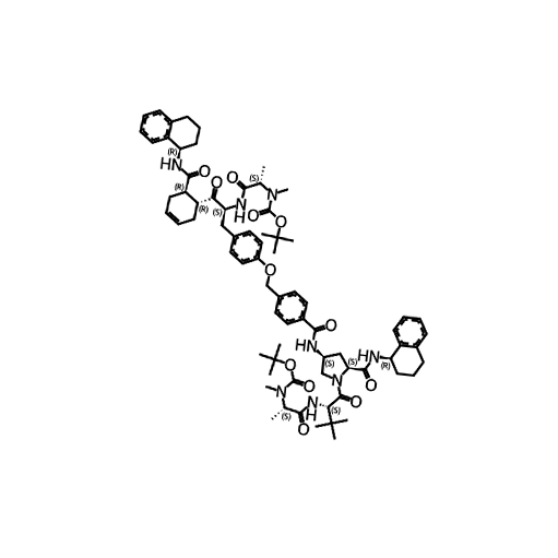 C[C@@H](C(=O)N[C@@H](Cc1ccc(OCc2ccc(C(=O)N[C@H]3C[C@@H](C(=O)N[C@@H]4CCCc5ccccc54)N(C(=O)[C@@H](NC(=O)[C@H](C)N(C)C(=O)OC(C)(C)C)C(C)(C)C)C3)cc2)cc1)C(=O)[C@@H]1CC=CC[C@H]1C(=O)N[C@@H]1CCCc2ccccc21)N(C)C(=O)OC(C)(C)C